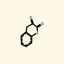 O=C1[CH]c2ccccc2SC1=O